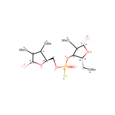 B[C@@H]1O[C@H](COP(=O)(S)OC2C(OC)[C@H](B)O[C@@H]2COC)C(OC)C1OC